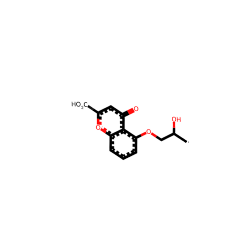 [CH2]C(O)COc1cccc2oc(C(=O)O)cc(=O)c12